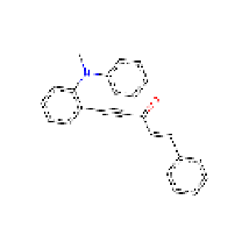 CN(c1ccccc1)c1ccccc1C#CC(=O)/C=C/c1ccccc1